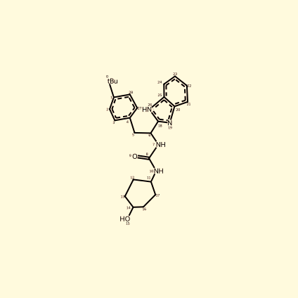 CC(C)(C)c1ccc(CC(NC(=O)NC2CCC(O)CC2)c2nc3ccccc3[nH]2)cc1